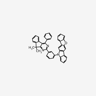 CC1(C)c2ccccc2-c2c(-c3ccccc3)nc(-c3cccc(-n4c5ccccc5c5cc6oc7ccccc7c6cc54)c3)nc21